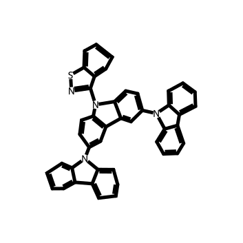 c1ccc2c(-n3c4ccc(-n5c6ccccc6c6ccccc65)cc4c4cc(-n5c6ccccc6c6ccccc65)ccc43)nsc2c1